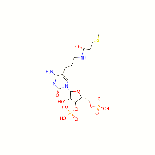 CSCCC(=O)NCCCc1cn([C@@H]2O[C@H](COP(=O)(O)O)C(OP(=O)(O)O)C2O)c(=O)nc1N